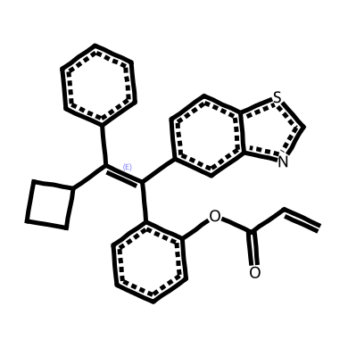 C=CC(=O)Oc1ccccc1/C(=C(/c1ccccc1)C1CCC1)c1ccc2scnc2c1